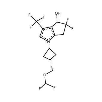 O[C@H]1c2c(C(F)(F)F)nn([C@H]3C[C@@H](COC(F)F)C3)c2CC1(F)F